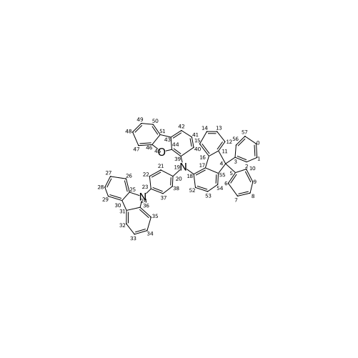 c1ccc(C2(c3ccccc3)c3ccccc3-c3c(N(c4ccc(-n5c6ccccc6c6ccccc65)cc4)c4cccc5c4oc4ccccc45)cccc32)cc1